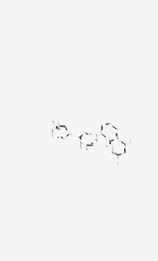 Cc1cc(Cl)c2cccc(-n3cnc(-c4cnn(C)c4)c3)c2n1